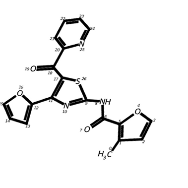 Cc1ccoc1C(=O)Nc1nc(-c2ccco2)c(C(=O)c2ccccn2)s1